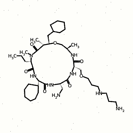 CCC[C@H]1C(=O)N[C@@H](C2CCCCCC2)C(=O)N[C@@H](CN)C(=O)N[C@@H](COCCCNCCCN)C(=O)N[C@H](C)CO[C@H](CC2CCCCC2)[C@@H](C)C(=O)N1C